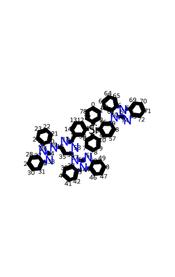 c1ccc([Si](c2ccccc2)(c2cccc(-c3nc(-n4c5ccccc5n5c6ccccc6nc45)cc(-n4c5ccccc5n5c6ccccc6nc45)n3)c2)c2cccc(-n3c4ccccc4n4c5ccccc5nc34)c2)cc1